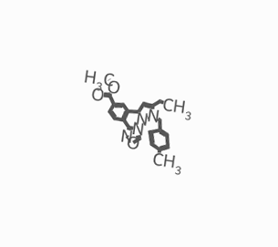 CCc1cc(-c2cc(C(=O)OC)ccc2-c2ncon2)nn1Cc1ccc(C)cc1